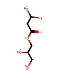 O=C(CC(S)S)OCC(O)CO